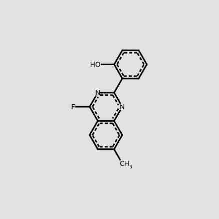 Cc1ccc2c(F)nc(-c3ccccc3O)nc2c1